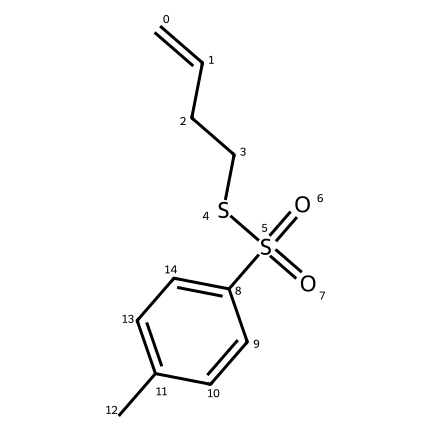 C=CCCSS(=O)(=O)c1ccc(C)cc1